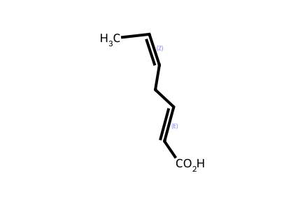 C/C=C\C/C=C/C(=O)O